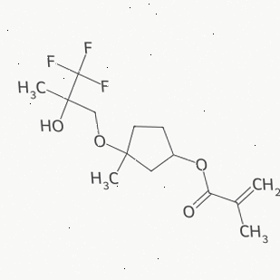 C=C(C)C(=O)OC1CCC(C)(OCC(C)(O)C(F)(F)F)C1